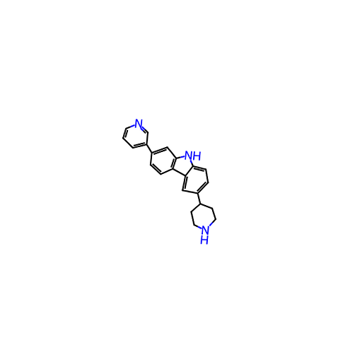 c1cncc(-c2ccc3c(c2)[nH]c2ccc(C4CCNCC4)cc23)c1